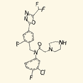 O=C(CN1CCNCC1)N(Cc1ccc(-c2nnc(C(F)F)o2)cc1F)c1ccc(F)c(Cl)c1